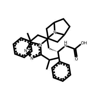 Cc1nnc(C(C)C)n1C1CC2CCC(C1)N2C(Cc1ccccc1)C[C@H](NC(=O)O)c1ccccc1